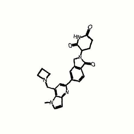 Cn1ccc2nc(-c3ccc4c(c3)CN(C3CCC(=O)NC3=O)C4=O)cc(CN3CCC3)c21